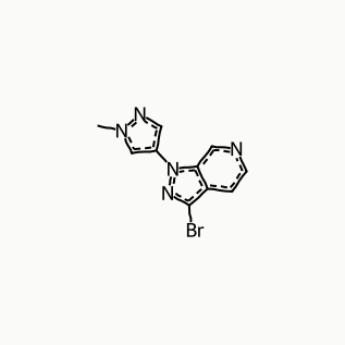 Cn1cc(-n2nc(Br)c3ccncc32)cn1